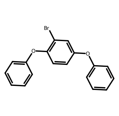 Brc1cc(Oc2ccccc2)ccc1Oc1ccccc1